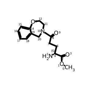 COC(=O)[C@@H](N)CCC(=O)N1CCOc2ccccc2C1